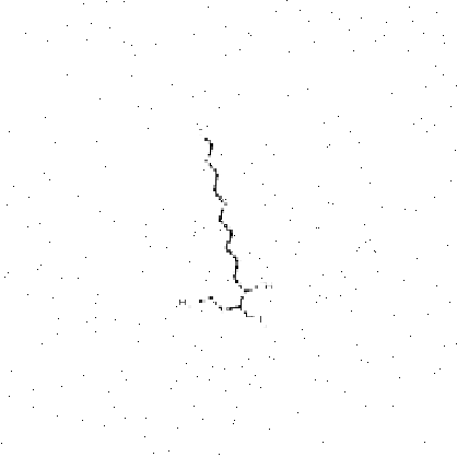 CCCC(C)C(C)CCCCCCCCCCO